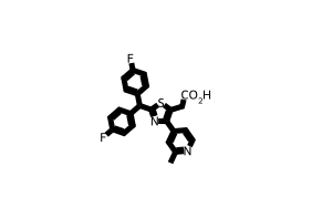 Cc1cc(-c2nc(C(c3ccc(F)cc3)c3ccc(F)cc3)sc2CC(=O)O)ccn1